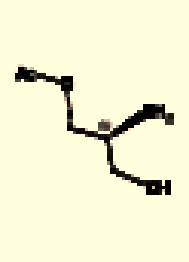 CC(=O)OC[C@@H](N)CO